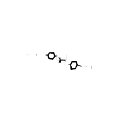 CCC(C)c1ccc(OCC(=O)Nc2ccc(S(=O)(=O)O)cc2)cc1